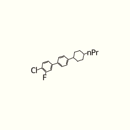 CCCC1CCC(c2ccc(-c3ccc(Cl)c(F)c3)cc2)CC1